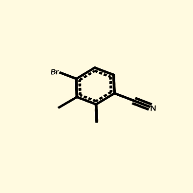 Cc1c(Br)ccc(C#N)c1C